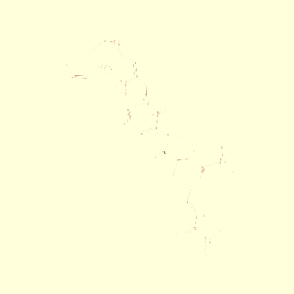 CC(C)=Cc1ccnc2cc(Cn3cccc(NC(=O)C(CCC=CC(=O)N(C)C)OC(=O)N(C)C)c3=O)[nH]c12